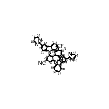 N#Cc1cc(-n2c3ccccc3c3cc(-c4ncccn4)ccc32)c(-c2cc(C(F)(F)F)ccc2C(F)(F)F)c(-n2c3ccccc3c3cc(-c4ncccn4)ccc32)c1